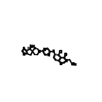 CC(C)(C)Cn1cnc2ccc(Sc3cnc(N4CCC5(CC4)Cc4ncsc4[C@H]5N)cn3)c(Cl)c2c1=O